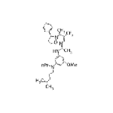 C=C(C)CCCN(CCC)c1cc(N/C(C)=N/C=C(\C(=C)N2OCC[C@H]2c2ccccc2)C(F)(F)F)cc(OC)c1